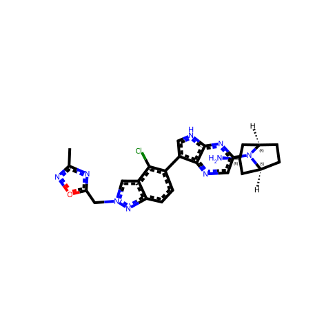 Cc1noc(Cn2cc3c(Cl)c(-c4c[nH]c5nc(N6[C@@H]7CC[C@H]6C[C@@H](N)C7)cnc45)ccc3n2)n1